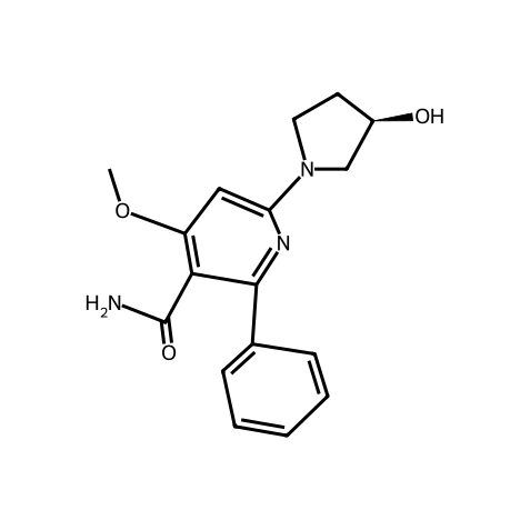 COc1cc(N2CC[C@@H](O)C2)nc(-c2ccccc2)c1C(N)=O